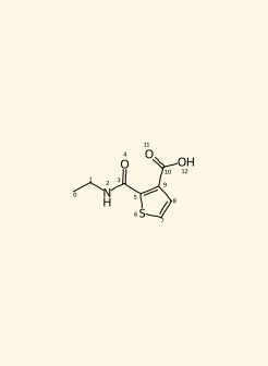 CCNC(=O)c1sccc1C(=O)O